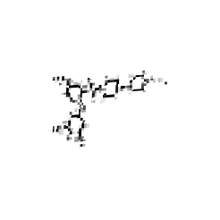 CN1CCC(N2CCN(S(=O)(=O)c3cc([N+](=O)[O-])ccc3Oc3cc(Cl)cc(Cl)c3)CC2)CC1